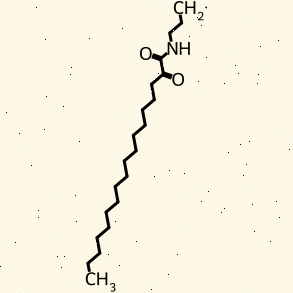 [CH2]CCNC(=O)C(=O)CCCCCCCCCCCCCCCC